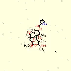 CO[C@@]12C[C@H]3[C@@H]4O[C@@H]4[C@H]4C[C@@H](OC(=O)c5ccc[nH]5)[C@H](C)[C@@H](O)[C@H]4[C@]3(O1)/C(C)=C/[C@@H](C)[C@@H]([C@@H](C)O)OC2=O